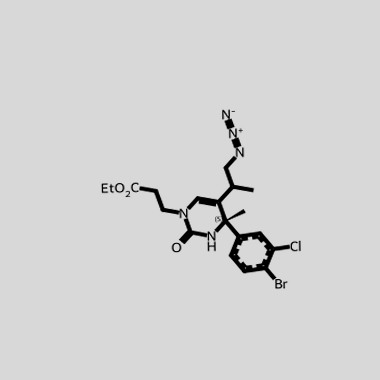 CCOC(=O)CCN1C=C(C(C)CN=[N+]=[N-])[C@](C)(c2ccc(Br)c(Cl)c2)NC1=O